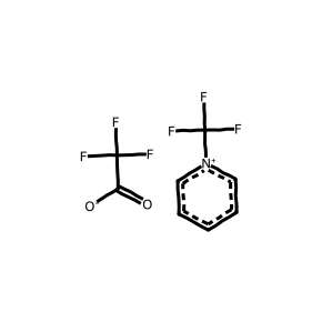 FC(F)(F)[n+]1ccccc1.O=C([O-])C(F)(F)F